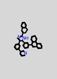 C1=C(C2=NC=C(c3cccc(-c4cccnc4)c3)C(c3cccc(-c4cc5ccccc5c5ccccc45)c3)N2)CCc2ccccc21